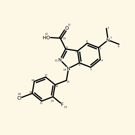 CN(C)c1ccc2c(c1)c(C(=O)O)nn2Cc1ccc(Cl)cc1F